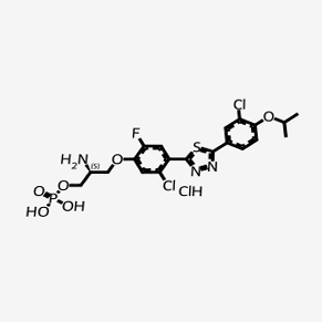 CC(C)Oc1ccc(-c2nnc(-c3cc(F)c(OC[C@H](N)COP(=O)(O)O)cc3Cl)s2)cc1Cl.Cl